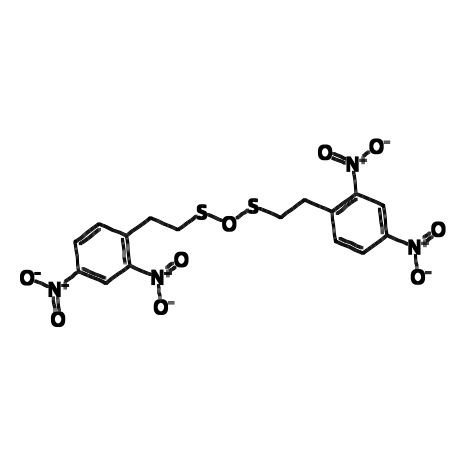 O=[N+]([O-])c1ccc(CCSOSCCc2ccc([N+](=O)[O-])cc2[N+](=O)[O-])c([N+](=O)[O-])c1